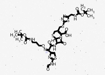 CC(C)(C)OC(=O)NCCCO/N=C(\C(=O)NC1C(=O)N2C(C(=O)O)=C(CSc3nnc(CNC(=O)OC(C)(C)C)s3)CS[C@H]12)c1csc(NC=O)n1